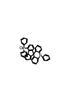 O=P(c1ccccc1)(c1ccccc1)c1cccc2c1-c1ccccc1C21c2ccccc2N(c2ccccc2)c2ccccc21